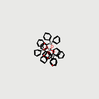 c1ccc([Si](O[Si](O[Si](c2ccccc2)(c2ccccc2)c2ccccc2)(O[Si](c2ccccc2)(c2ccccc2)c2ccccc2)O[Si](c2ccccc2)(c2ccccc2)c2ccccc2)(c2ccccc2)c2ccccc2)cc1